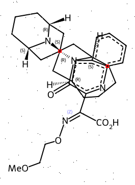 COCCO/N=C(\C(=O)O)c1nc2ccccc2n([C@H]2C[C@H]3CCC[C@@H](C2)N3[C@@H]2C[C@@H]3CCCC[C@@H](C3)C2)c1=O